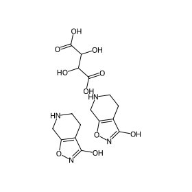 O=C(O)C(O)C(O)C(=O)O.Oc1noc2c1CCNC2.Oc1noc2c1CCNC2